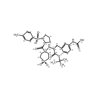 Cc1ccc(S(=O)(=O)N2CCC[C@H]2C(=O)[N+]2(N[C@@H](Cc3cccc(NC(=O)O)c3)C(=O)OC(C)(C)C)CCS(=O)(=O)CC2)cc1